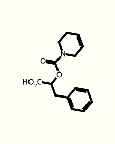 O=C(O)C(Cc1ccccc1)OC(=O)N1CC=CCC1